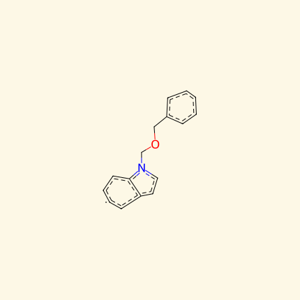 [c]1ccc2c(c1)ccn2COCc1ccccc1